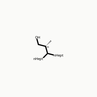 CCCCCCCC(CCCCCCC)[C@@H](C)CO